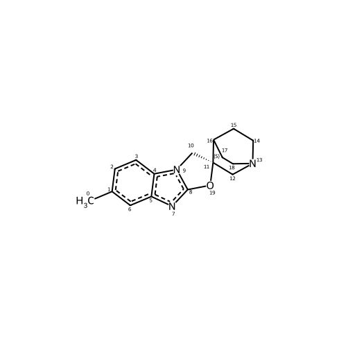 Cc1ccc2c(c1)nc1n2C[C@]2(CN3CCC2CC3)O1